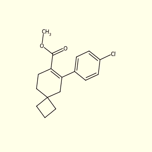 COC(=O)C1=C(c2ccc(Cl)cc2)CC2(CCC2)CC1